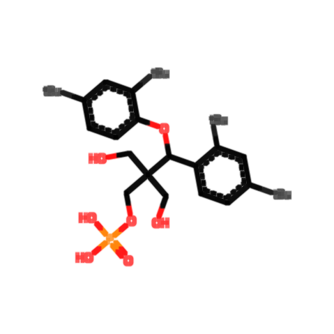 CC(C)(C)c1ccc(OC(c2ccc(C(C)(C)C)cc2C(C)(C)C)C(CO)(CO)COP(=O)(O)O)c(C(C)(C)C)c1